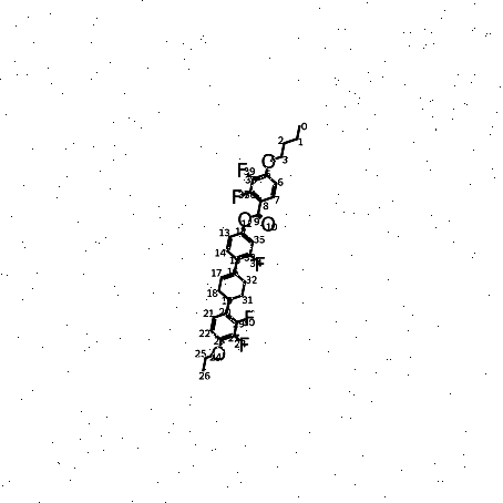 CCCCOc1ccc(C(=O)Oc2ccc(C3=CCC(c4ccc(OCC)c(F)c4F)CC3)c(F)c2)c(F)c1F